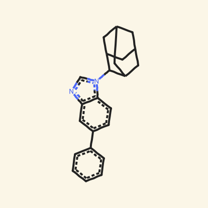 c1ccc(-c2ccc3c(c2)ncn3C2C3CC4CC(C3)CC2C4)cc1